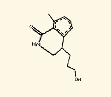 Cc1cccc2c1C(=O)NCC2CCCO